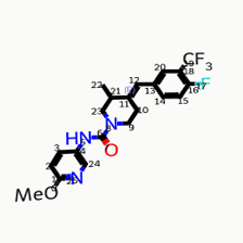 COc1ccc(NC(=O)N2CC/C(=C\c3ccc(F)c(C(F)(F)F)c3)C(C)C2)cn1